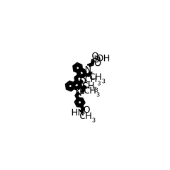 CNC(=O)c1ccc(C[N+]2=c3c(c4c(c5ccccc35)=Cc3c(c5c(c6ccccc36)N(CCCS(=O)(=O)O)CC5(C)C)O4)C(C)(C)C2)cc1